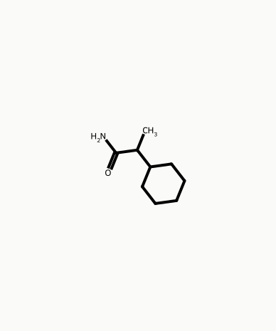 C[C](C(N)=O)C1CCCCC1